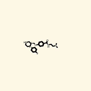 CN(C)CCNC(=O)c1ccc(OC[C@@H]2CNCC[C@H]2c2ccc(F)cc2)cc1